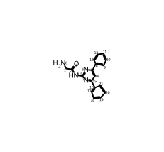 NCC(=O)Nc1nc(-c2ccccc2)cc(-c2ccccc2)n1